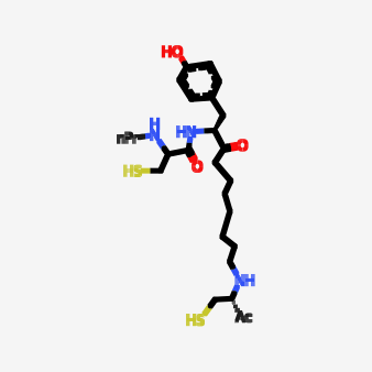 CCCNC(CS)C(=O)N[C@@H](Cc1ccc(O)cc1)C(=O)CCCCCCCN[C@@H](CS)C(C)=O